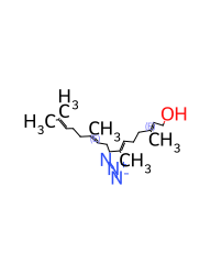 CC(C)=CCC/C(C)=C/CC(N=[N+]=[N-])C(C)=CCC/C(C)=C/CO